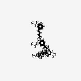 CC(N)(COP(=O)(O)O)c1nnc(-c2ccc(OCCCCc3cccc(C(F)(F)F)c3)c(C(F)(F)F)c2)s1